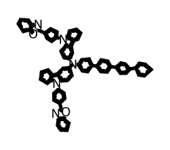 c1ccc(-c2ccc(-c3ccc(-c4ccc(N(c5ccc6c(c5)c5ccccc5n6-c5ccc(-c6nc7ccccc7o6)cc5)c5ccc6c(c5)c5ccccc5n6-c5ccc(-c6nc7ccccc7o6)cc5)cc4)cc3)cc2)cc1